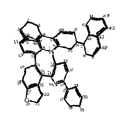 C1=CCCC(C2=C(N3c4ccccc4C4=C(C5=C(CC4)OCC5)c4nc(C5=CCCC=C5)ccc43)CC(C3CC=Cc4ccccc43)C=C2)=C1